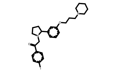 O=C(CN1CCCC1c1cccc(OCCCN2CCCCC2)c1)c1ccc(I)cc1